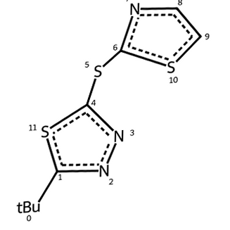 CC(C)(C)c1nnc(Sc2nccs2)s1